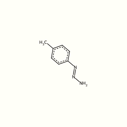 Cc1ccc(N=NN)cc1